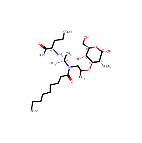 CCCCCCCCCCCCCCCCCC(=O)N(CC(C)O[C@H]1[C@H](O)[C@@H](CO)O[C@H](O)[C@@H]1NC(C)=O)[C@@H](C)C(=O)O.NC(=O)[C@H](N)CCC(=O)O